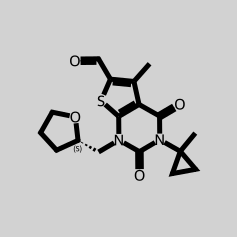 Cc1c(C=O)sc2c1c(=O)n(C1(C)CC1)c(=O)n2C[C@@H]1CCCO1